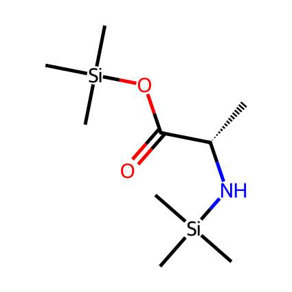 C[C@H](N[Si](C)(C)C)C(=O)O[Si](C)(C)C